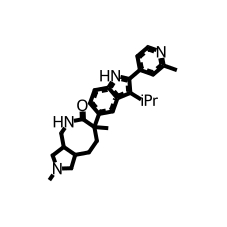 Cc1cc(-c2[nH]c3ccc(C4(C)CCC5CN(C)CC5CNC4=O)cc3c2C(C)C)ccn1